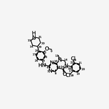 COc1cc(Nc2ncc3c(n2)N(C)CN(c2c(Cl)cccc2Cl)C3=O)ccc1C1CCNCC1